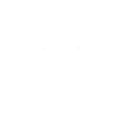 C=Cc1cc(S(=O)(=O)O)ccc1Cl